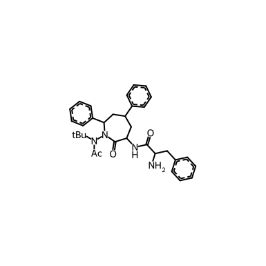 CC(=O)N(N1C(=O)C(NC(=O)C(N)Cc2ccccc2)CC(c2ccccc2)CC1c1ccccc1)C(C)(C)C